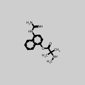 CNC(C)(C)C(=O)Oc1ccc(NC(=N)N)c2ccccc12